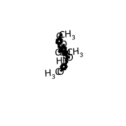 COc1ccc(CNC(=O)c2cn3c(=O)n(Cc4ccc(OC)cc4)c(=O)cc3n2C)cc1